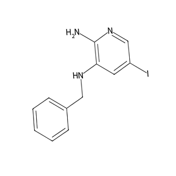 Nc1ncc(I)cc1NCc1ccccc1